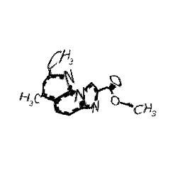 CCOC(=O)c1cn2c(ccc3c(C)cc(C)nc32)n1